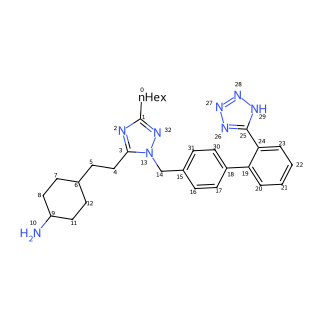 CCCCCCc1nc(CCC2CCC(N)CC2)n(Cc2ccc(-c3ccccc3-c3nnn[nH]3)cc2)n1